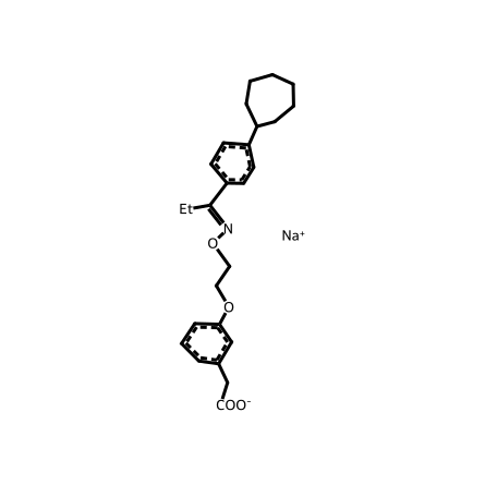 CCC(=NOCCOc1cccc(CC(=O)[O-])c1)c1ccc(C2CCCCCC2)cc1.[Na+]